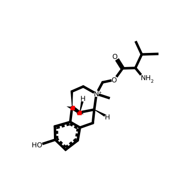 CC(C)C(N)C(=O)OC[N+]1(C)CC[C@]23CCCC[C@H]2[C@H]1Cc1ccc(O)cc13